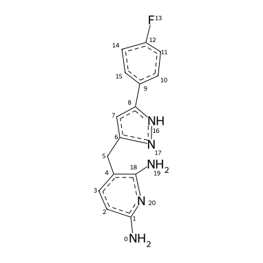 Nc1ccc(Cc2cc(-c3ccc(F)cc3)[nH]n2)c(N)n1